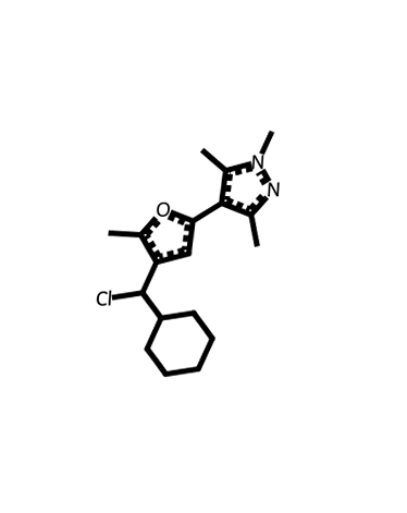 Cc1nn(C)c(C)c1-c1cc(C(Cl)C2CCCCC2)c(C)o1